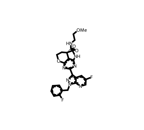 COCCNC(=O)[C@@]12CCOc3nc(-c4nn(Cc5ccccc5F)c5ncc(F)cc45)nc(c31)NC2=O